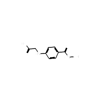 CNC(=O)c1ccc(NCC(=O)O)cc1